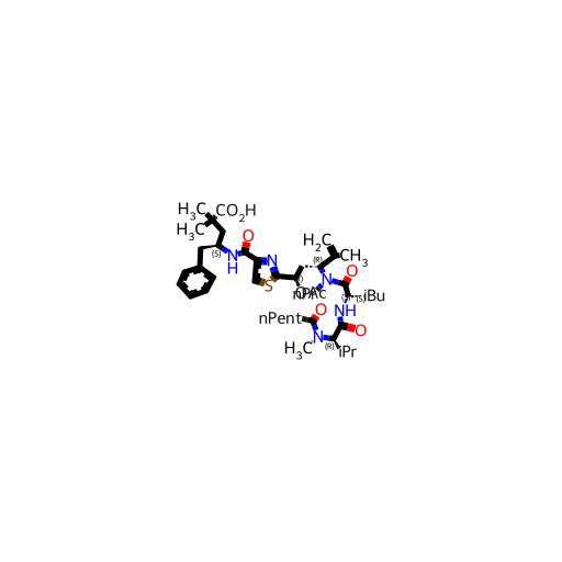 C=C(C)[C@@H](C[C@@H](OC(C)=O)c1nc(C(=O)N[C@@H](Cc2ccccc2)CC(C)(C)C(=O)O)cs1)N(CCC)C(=O)[C@@H](NC(=O)[C@@H](C(C)C)N(C)C(=O)CCCCC)[C@@H](C)CC